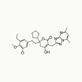 CCc1cc(CCC2(C3CCCC3)CC(O)=C(Cc3nc4nc(C)cc(C)n4n3)C(=O)O2)cc(Cl)c1OC